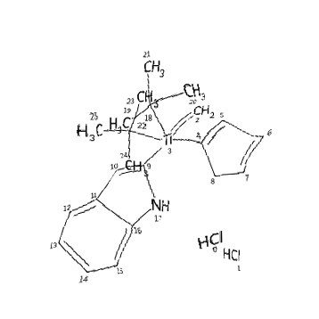 Cl.Cl.[CH2]=[Ti]([C]1=CC=CC1)([c]1cc2ccccc2[nH]1)([C](C)(C)C)[C](C)(C)C